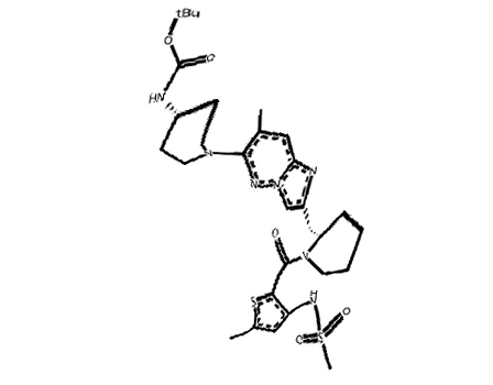 Cc1cc(NS(C)(=O)=O)c(C(=O)N2CCCC[C@H]2c2cn3nc(N4CC[C@H](NC(=O)OC(C)(C)C)C4)c(C)cc3n2)s1